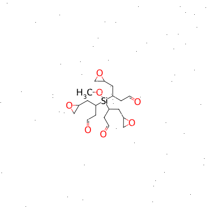 CO[Si](C(CC=O)CC1CO1)(C(CC=O)CC1CO1)C(CC=O)CC1CO1